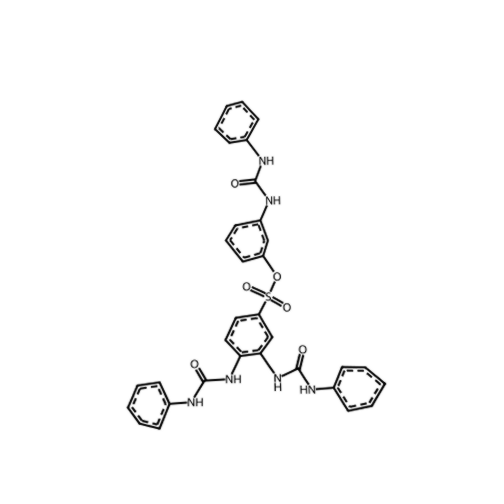 O=C(Nc1ccccc1)Nc1cccc(OS(=O)(=O)c2ccc(NC(=O)Nc3ccccc3)c(NC(=O)Nc3ccccc3)c2)c1